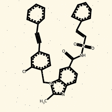 Cc1nc2ccc(C(=O)NS(=O)(=O)C=Cc3ccccc3)cc2n1Cc1ccc(C#Cc2ccccc2)cc1Cl